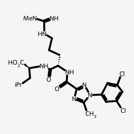 CNC(=N)NCCC[C@H](NC(=O)c1nc(C)n(-c2cc(Cl)cc(Cl)c2)n1)C(=O)N[C@@H](CC(C)C)C(=O)O